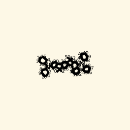 CC1(C)c2cc(N(C3=CC=CCC3)C3C=CC=CC3)ccc2-c2cc3c(cc21)C1c2ccccc2C(N(c2ccccc2)c2ccccc2)=CC1C3(C)C